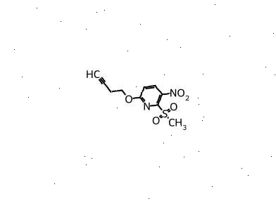 C#CCCOc1ccc([N+](=O)[O-])c(S(C)(=O)=O)n1